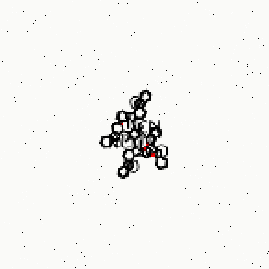 N#Cc1c(-c2cccc3c2oc2ccccc23)c(-n2c3ccccc3c3c4oc5ccccc5c4ccc32)c(C#N)c(-n2c3ccccc3c3c4oc5ccccc5c4ccc32)c1-n1c2ccccc2c2c3oc4ccccc4c3ccc21